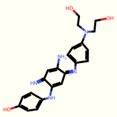 N=C1C=C(N)/C(=N\c2ccc(N(CCO)CCO)cc2)C=C1Nc1ccc(O)cc1